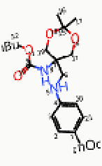 CCCCCCCCc1ccc(NCC2(NC(=O)OCCCC)COC(C)(C)OC2)cc1